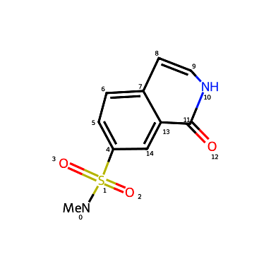 CNS(=O)(=O)c1ccc2cc[nH]c(=O)c2c1